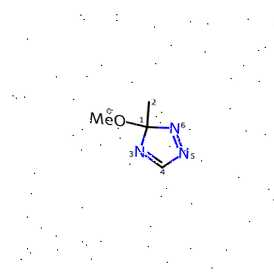 COC1(C)N=CN=N1